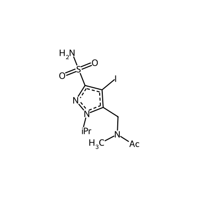 CC(=O)N(C)Cc1c(I)c(S(N)(=O)=O)nn1C(C)C